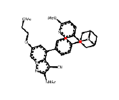 COCCOc1cc(-c2ccc(N3CC4CC(C3)N4Cc3ccc(OC)nc3)nc2)c2c(C#N)c(NC(C)=O)nn2c1